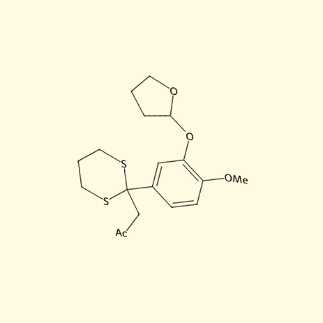 COc1ccc(C2(CC(C)=O)SCCCS2)cc1OC1CCCO1